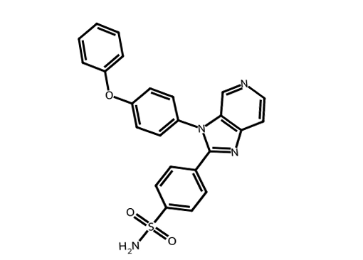 NS(=O)(=O)c1ccc(-c2nc3ccncc3n2-c2ccc(Oc3ccccc3)cc2)cc1